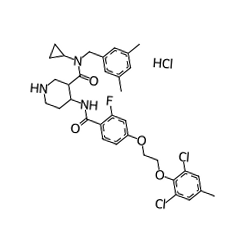 Cc1cc(C)cc(CN(C(=O)C2CNCCC2NC(=O)c2ccc(OCCOc3c(Cl)cc(C)cc3Cl)cc2F)C2CC2)c1.Cl